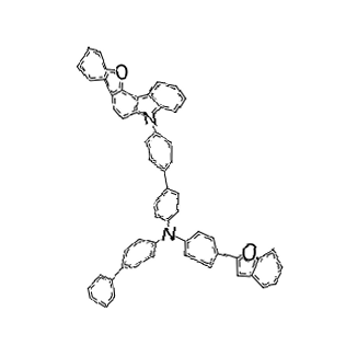 c1ccc(-c2ccc(N(c3ccc(-c4ccc(-n5c6ccccc6c6c7oc8ccccc8c7ccc65)cc4)cc3)c3ccc(-c4cc5ccccc5o4)cc3)cc2)cc1